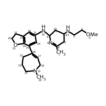 COCCNC1CC(C)=NC(Nc2cc3c(c(C4=CCN(C)CCC4)c2)OCC3)C1